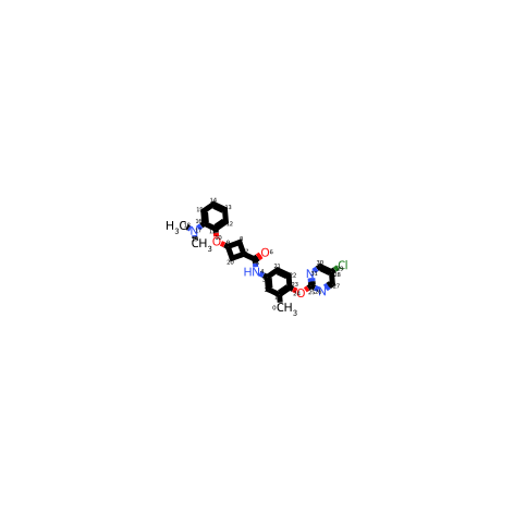 Cc1cc(NC(=O)C2CC(Oc3ccccc3N(C)C)C2)ccc1Oc1ncc(Cl)cn1